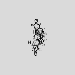 C[C@]12CC[C@H]3[C@@H](CCC4CC(=O)CC[C@@]43C)[C@@H]1CC[C@@H]2C1=CC(=O)OC1